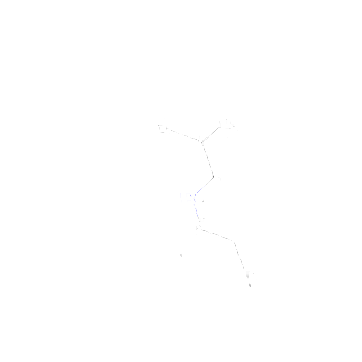 CCCCC(CC)CN[C@@H](C)CC(C)C